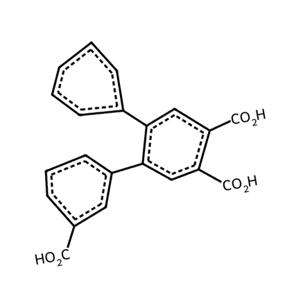 O=C(O)c1cccc(-c2cc(C(=O)O)c(C(=O)O)cc2-c2ccccc2)c1